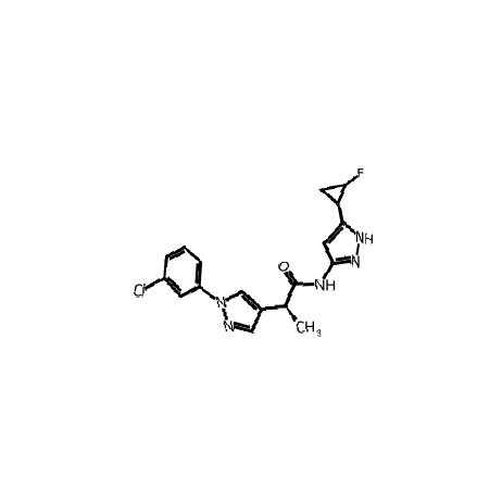 C[C@H](C(=O)Nc1cc(C2CC2F)[nH]n1)c1cnn(-c2cccc(Cl)c2)c1